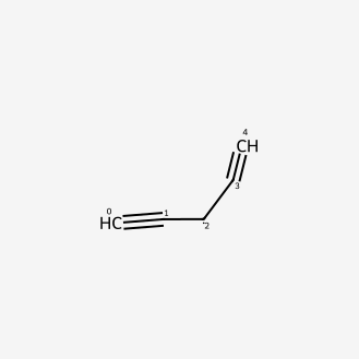 C#C[CH]C#C